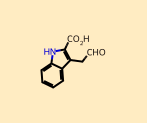 O=CCc1c(C(=O)O)[nH]c2ccccc12